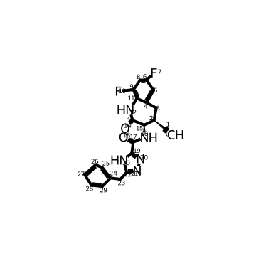 C#C[C@@H]1Cc2cc(F)cc(F)c2NC(=O)[C@@H]1NC(=O)c1nnc(Cc2ccccc2)[nH]1